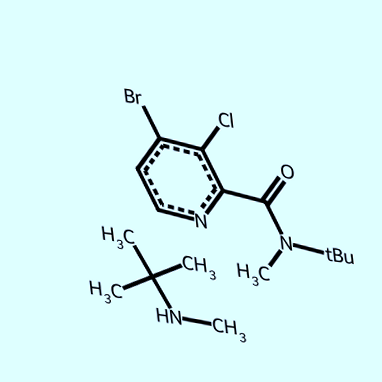 CN(C(=O)c1nccc(Br)c1Cl)C(C)(C)C.CNC(C)(C)C